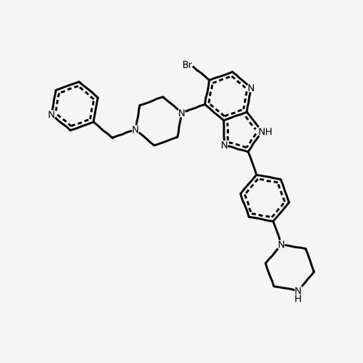 Brc1cnc2[nH]c(-c3ccc(N4CCNCC4)cc3)nc2c1N1CCN(Cc2cccnc2)CC1